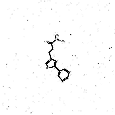 CN(C)C(=O)CCc1c[nH]c(-c2ccccc2)c1